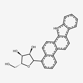 OC[C@H]1OC(c2cccc3c2ccc2c3ccc3c4ccccc4[nH]c32)[C@H](O)[C@@H]1O